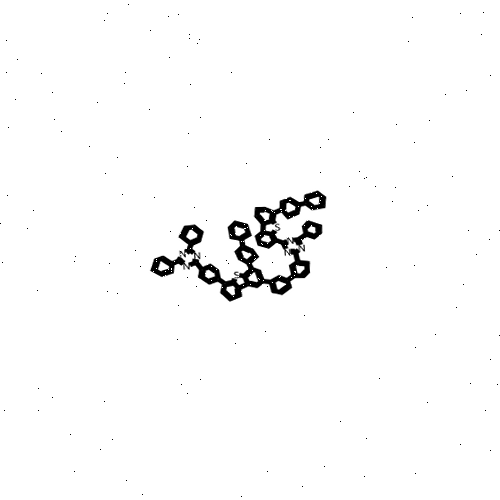 c1ccc(-c2ccc(-c3cc(-c4cccc(-c5cccc(-c6nc(-c7ccccc7)nc(-c7cccc8c7sc7c(-c9ccc(-c%10ccccc%10)cc9)cccc78)n6)c5)c4)cc4c3sc3c(-c5ccc(-c6nc(-c7ccccc7)nc(-c7ccccc7)n6)cc5)cccc34)cc2)cc1